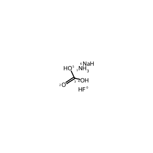 F.N.O=C(O)O.[NaH]